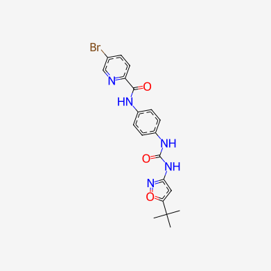 CC(C)(C)c1cc(NC(=O)Nc2ccc(NC(=O)c3ccc(Br)cn3)cc2)no1